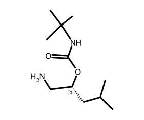 CC(C)C[C@H](CN)OC(=O)NC(C)(C)C